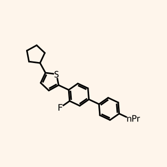 CCCc1ccc(-c2ccc(-c3ccc(C4CCCC4)s3)c(F)c2)cc1